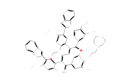 COc1cc(OC)c(-c2cc3ccccc3s2)cc1C(=CC=C(C(=O)c1cc(OC)c(OC)c(OC)c1)c1cc(-c2cc3ccccc3s2)c(OC)cc1OCC(=O)O)C(=O)c1cc(OC)c(OCCN2CCOCC2)c(OC)c1